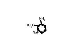 Nc1ccccc1C(=O)O.[NaH]